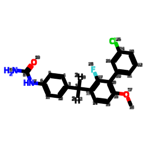 [2H]C([2H])(c1ccc(NC(N)=O)cc1)c1ccc(OC)c(-c2cccc(Cl)c2)c1F